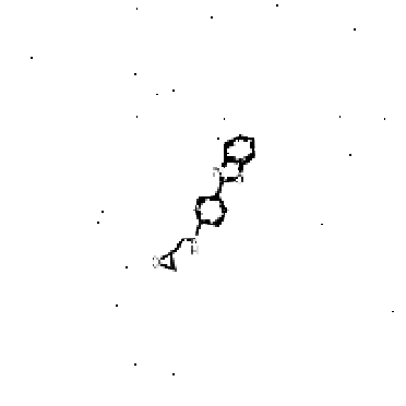 c1ccc2oc(-c3ccc(NCC4CO4)cc3)nc2c1